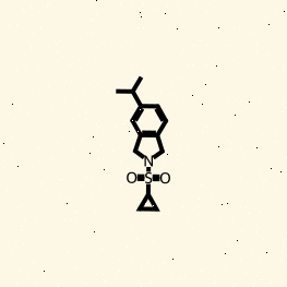 CC(C)c1ccc2c(c1)CN(S(=O)(=O)C1CC1)C2